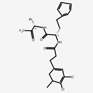 CC1CC(CCC(=O)N[C@@H](CCc2ccccc2)C(=O)N[C@H](C(=O)C(F)(F)F)C(C)C)=CC(Cl)=C1Cl